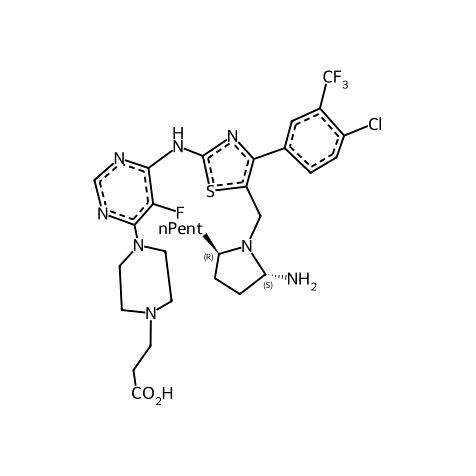 CCCCC[C@@H]1CC[C@@H](N)N1Cc1sc(Nc2ncnc(N3CCN(CCC(=O)O)CC3)c2F)nc1-c1ccc(Cl)c(C(F)(F)F)c1